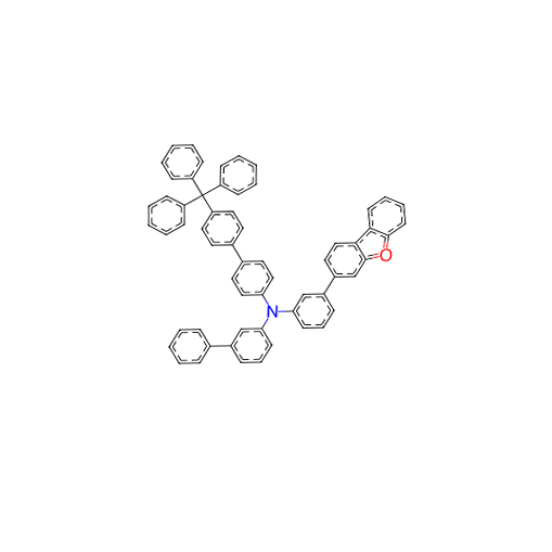 c1ccc(-c2cccc(N(c3ccc(-c4ccc(C(c5ccccc5)(c5ccccc5)c5ccccc5)cc4)cc3)c3cccc(-c4ccc5c(c4)oc4ccccc45)c3)c2)cc1